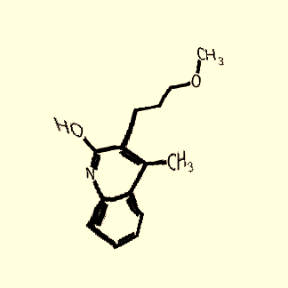 COCCCc1c(O)nc2ccccc2c1C